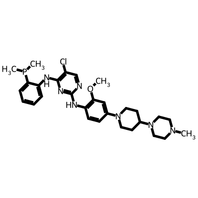 COc1cc(N2CCC(N3CCN(C)CC3)CC2)ccc1Nc1ncc(Cl)c(Nc2ccccc2P(C)C)n1